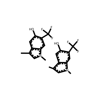 Cc1cn(C)c2cc(C(F)(F)F)c(O)cc12.Cc1cn(C)c2cc(C(F)(F)F)c(O)cc12